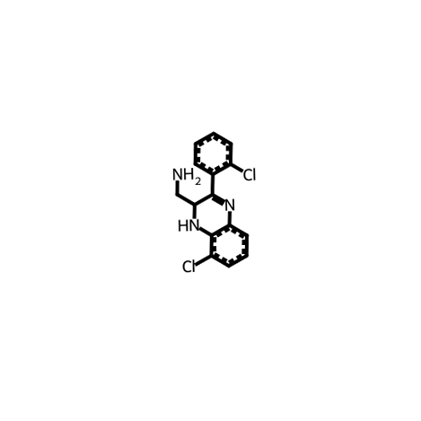 NCC1Nc2c(Cl)cccc2N=C1c1ccccc1Cl